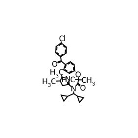 CC1CC(N(C(=O)C(C)(C)Oc2ccc(C(=O)c3ccc(Cl)cc3)cc2)C(C2CC2)C2CC2)=NC1C